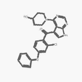 O=C(c1ccc(Oc2ccccc2)cc1Cl)c1c[nH]c2ncnc(N3CCC(O)CC3)c12